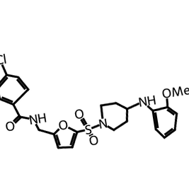 COc1ccccc1NC1CCN(S(=O)(=O)c2ccc(CNC(=O)c3ccc(Cl)cc3)o2)CC1